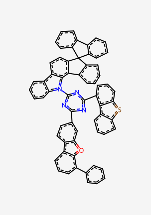 c1ccc(-c2cccc3c2oc2cc(-c4nc(-c5cccc6sc7ccccc7c56)nc(-n5c6ccccc6c6ccc7c(c65)-c5ccccc5C75c6ccccc6-c6ccccc65)n4)ccc23)cc1